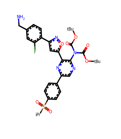 CC(C)S(=O)(=O)c1ccc(-c2cnc(N(C(=O)OC(C)(C)C)C(=O)OC(C)(C)C)c(-c3cc(-c4ccc(CN)cc4F)no3)n2)cc1